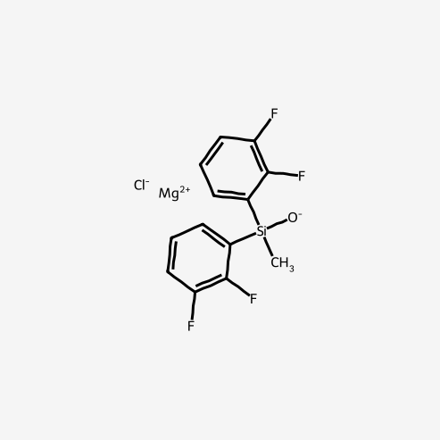 C[Si]([O-])(c1cccc(F)c1F)c1cccc(F)c1F.[Cl-].[Mg+2]